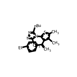 C=C(c1ccc(CC)cc1)c1c(-n2c(C)nnc2CCCC)sc(C)c1C